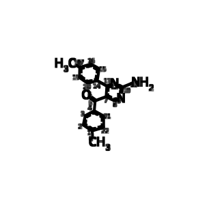 Cc1ccc(C(=O)c2cnc(N)nc2-c2ccc(C)cc2)cc1